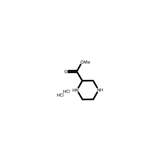 COC(=O)C1CNCCN1.Cl.Cl